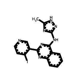 Cc1nc(Nc2nc(-c3cnccc3I)nc3ccccc23)n[nH]1